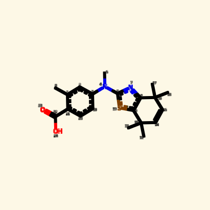 Cc1cc(N(C)c2nc3c(s2)C(C)(C)C=CC3(C)C)ccc1C(=O)O